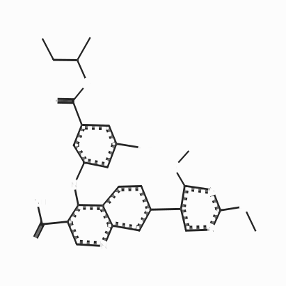 CCC(C)OC(=O)c1cc(O)cc(Nc2c(C(N)=O)cnc3cc(-c4cnc(OC)nc4OC)ccc23)c1